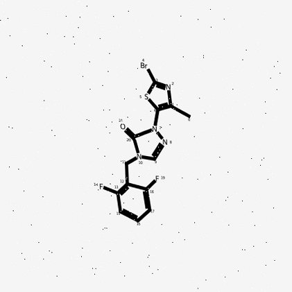 Cc1nc(Br)sc1-n1ncn(Cc2c(F)cccc2F)c1=O